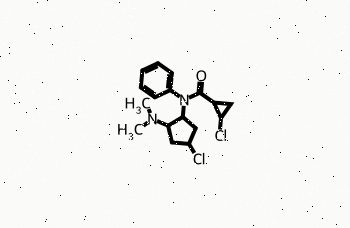 CN(C)C1CC(Cl)CC1N(C(=O)C1CC1Cl)c1ccccc1